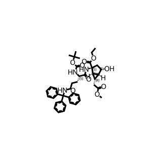 CCOC(=O)[C@]1(NC(=O)[C@H](CCC(=O)NC(c2ccccc2)(c2ccccc2)c2ccccc2)NC(=O)OC(C)(C)C)C[C@H](O)[C@H]2[C@H](CC(=O)OC)[C@H]21